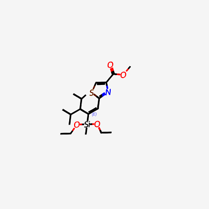 CCO[Si](C)(OCC)/C(=C/c1nc(C(=O)OC)cs1)C(C(C)C)C(C)C